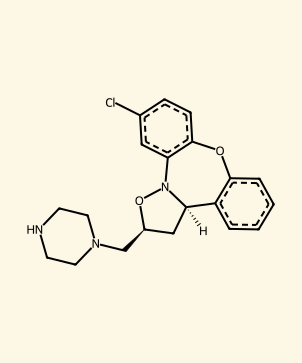 Clc1ccc2c(c1)N1O[C@H](CN3CCNCC3)C[C@@H]1c1ccccc1O2